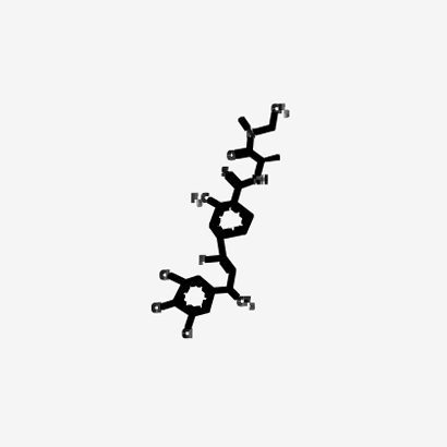 C[C@@H](NC(=S)c1ccc(/C(F)=C/C(c2cc(Cl)c(Cl)c(Cl)c2)C(F)(F)F)cc1C(F)(F)F)C(=O)N(C)CC(F)(F)F